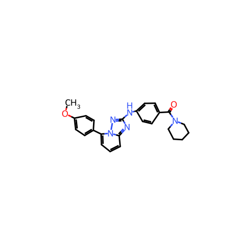 COc1ccc(-c2cccc3nc(Nc4ccc(C(=O)N5CCCCC5)cc4)nn23)cc1